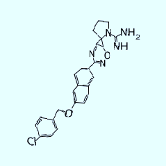 N=C(N)N1CCCC12C1=NC(c3ccc4cc(OCc5ccc(Cl)cc5)ccc4c3)=NOC12